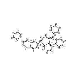 c1ccc(-c2ccc3ccc(-c4ccc(N(c5ccccc5)c5ccccc5)c5ccccc45)cc3c2)cc1